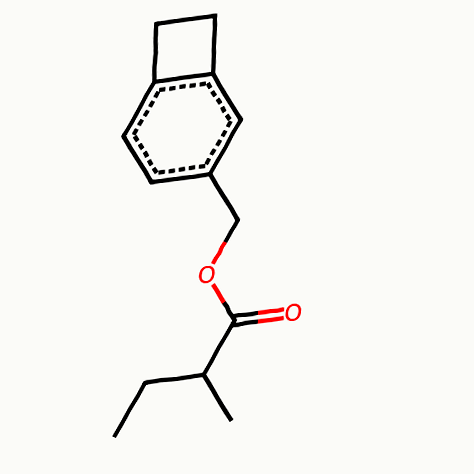 CCC(C)C(=O)OCc1ccc2c(c1)CC2